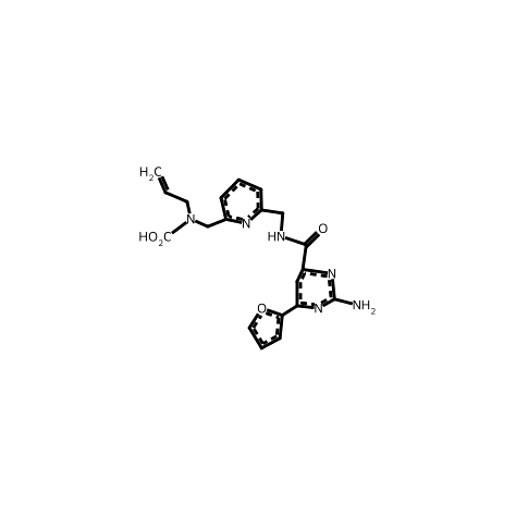 C=CCN(Cc1cccc(CNC(=O)c2cc(-c3ccco3)nc(N)n2)n1)C(=O)O